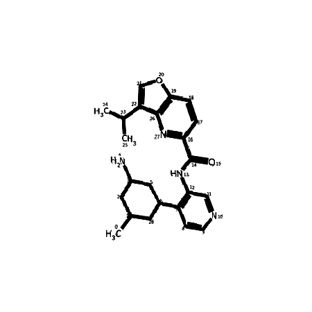 CC1CC(N)CC(c2ccncc2NC(=O)c2ccc3occ(C(C)C)c3n2)C1